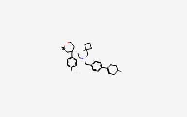 CCOC(=O)C1CC=C(c2ccc(CN(CC[C@@]3(c4ccc(OC)cc4)CCOC(C)(C)C3)CC3(C(F)(F)F)CCC3)cc2)CC1